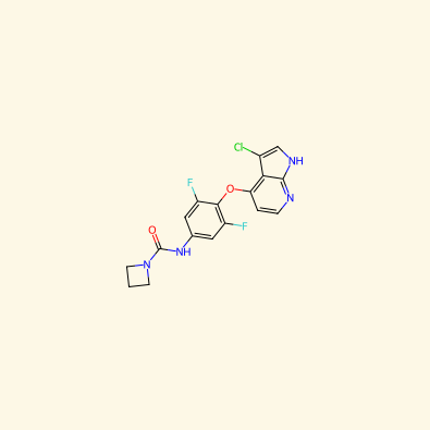 O=C(Nc1cc(F)c(Oc2ccnc3[nH]cc(Cl)c23)c(F)c1)N1CCC1